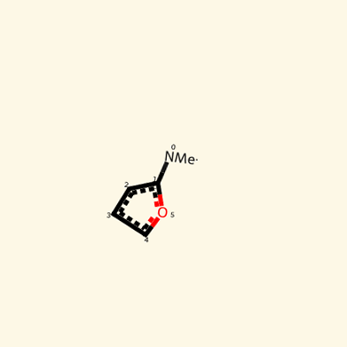 C[N]c1ccco1